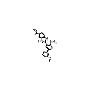 COC(=O)c1ccc2nc(-c3cc(-c4cccc(OC)c4)cnc3N)[nH]c2c1